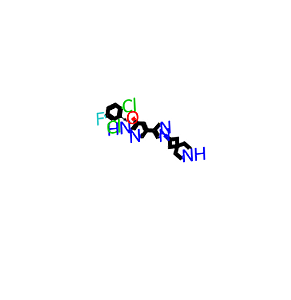 Fc1ccc(Cl)c([C@H]2Nc3ncc(-c4cnn(C5CC6(CCNCC6)C5)c4)cc3O2)c1Cl